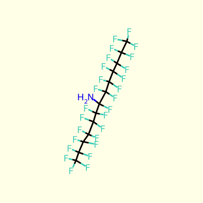 NC(F)(C(F)(F)C(F)(F)C(F)(F)C(F)(F)C(F)(F)C(F)(F)F)C(F)(F)C(F)(F)C(F)(F)C(F)(F)C(F)(F)C(F)(F)F